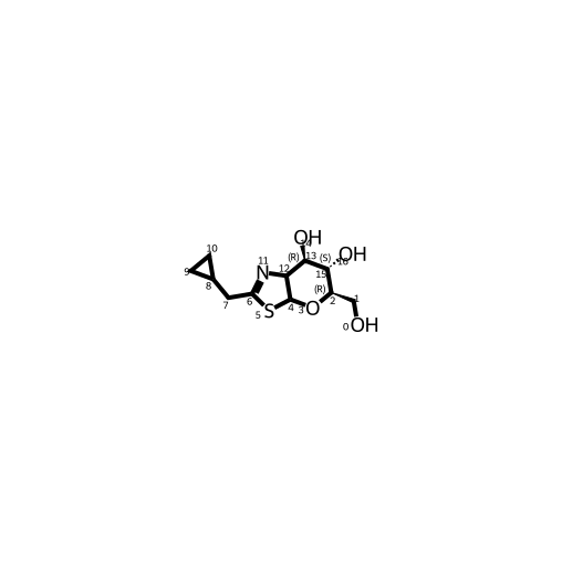 OC[C@H]1OC2SC(CC3CC3)=NC2[C@@H](O)[C@@H]1O